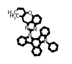 C/C=C\C1=C(C)Cc2nc(-n3c4ccccc4c4c5ccccc5c5c(c6ccccc6n5-c5ccccc5)c43)nc3cccc(c23)O1